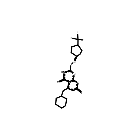 O=c1cc(CC2CCCCC2)c2c(=O)[nH]c(ON=C3CCC(C(F)(F)F)CC3)nc2o1